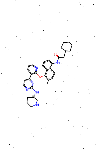 Cc1ccc2c(NC(=O)CC3CCCCC3)cccc2c1Oc1ncccc1-c1ccnc(N[C@H]2CCCNC2)n1